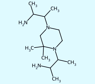 CC(N)C(C)N1CCN(C(C)C(C)N)C(C)(C)C1